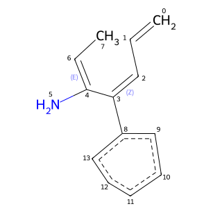 C=C/C=C(\C(N)=C/C)c1ccccc1